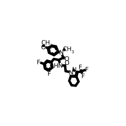 COc1ccc(N(C)C(=O)C(Cc2cc(F)cc(F)c2)NC(=O)Cn2nc(C(F)(F)F)c3c2CCCC3)cc1